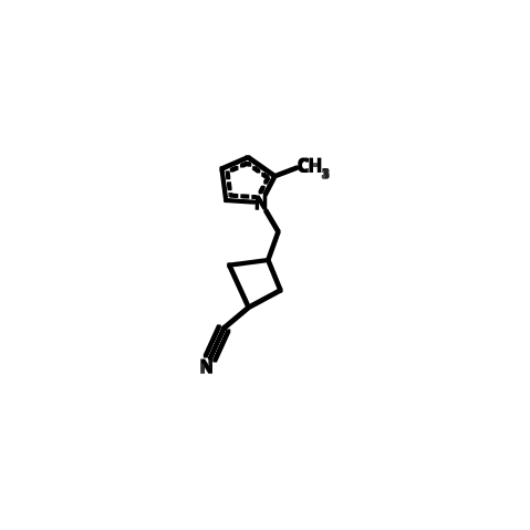 Cc1cccn1CC1CC(C#N)C1